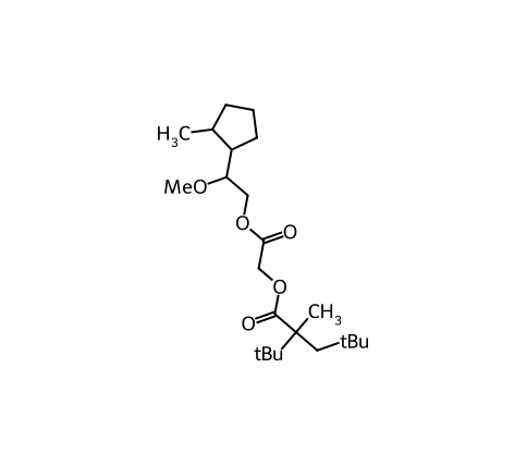 COC(COC(=O)COC(=O)C(C)(CC(C)(C)C)C(C)(C)C)C1CCCC1C